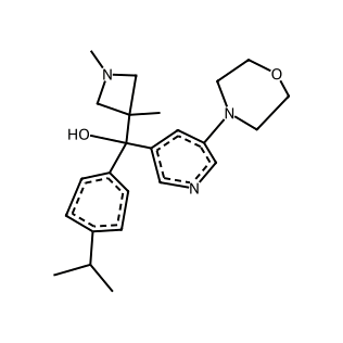 CC(C)c1ccc(C(O)(c2cncc(N3CCOCC3)c2)C2(C)CN(C)C2)cc1